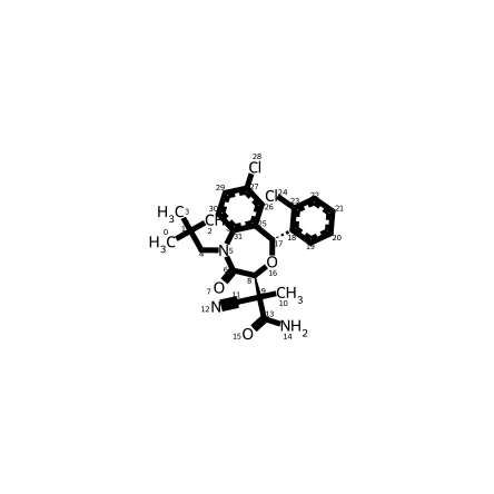 CC(C)(C)CN1C(=O)[C@H](C(C)(C#N)C(N)=O)O[C@@H](c2ccccc2Cl)c2cc(Cl)ccc21